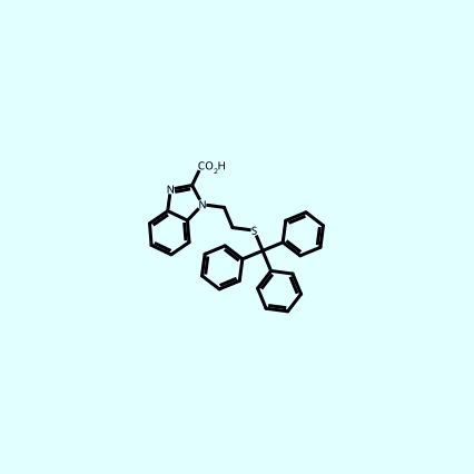 O=C(O)c1nc2ccccc2n1CCSC(c1ccccc1)(c1ccccc1)c1ccccc1